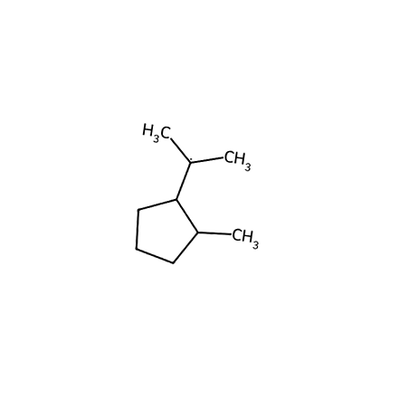 C[C](C)C1CCCC1C